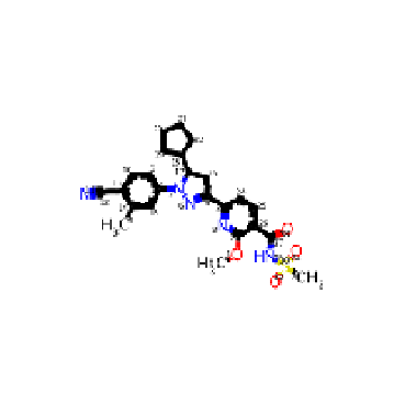 COc1nc(C2=NN(c3ccc(C#N)c(C)c3)C(C3CCCC3)C2)ccc1C(=O)NS(C)(=O)=O